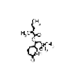 C=CCC(=C)C(=O)OC(CN(C)C)C1CCCC(=O)NC1